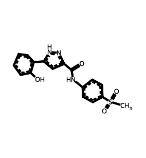 CS(=O)(=O)c1ccc(NC(=O)c2cc(-c3ccccc3O)[nH]n2)cc1